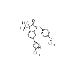 COc1ccc(CN2C(=O)C(C)(C)c3ccc(-n4cnc(C)c4)cc32)cc1